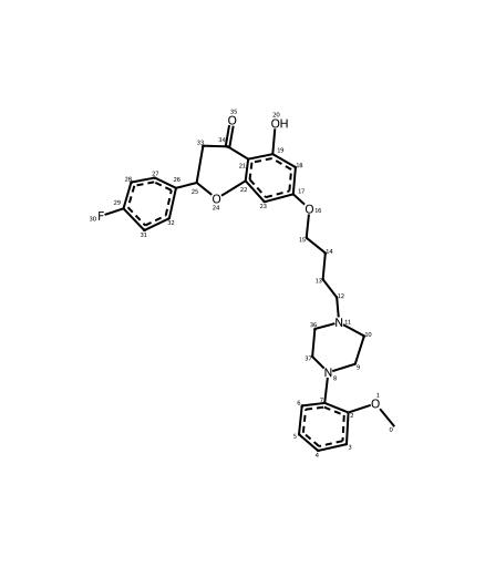 COc1ccccc1N1CCN(CCCCOc2cc(O)c3c(c2)OC(c2ccc(F)cc2)CC3=O)CC1